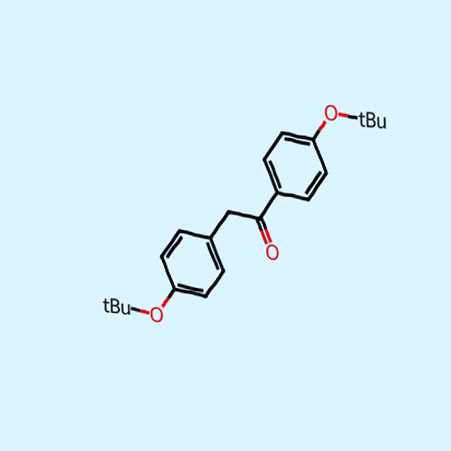 CC(C)(C)Oc1ccc(CC(=O)c2ccc(OC(C)(C)C)cc2)cc1